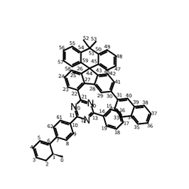 C[C@H]1CC=CC=C1c1ccc(-c2nc(-c3ccccc3)nc(-c3cccc4c3-c3cc(-c5ccc6ccccc6c5)ccc3C43c4ccccc4C(C)(C)c4ccccc43)n2)cc1